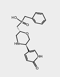 O=c1ccc([C@@H]2CO[C@@H](CP(=O)(O)Cc3ccccc3)CN2)c[nH]1